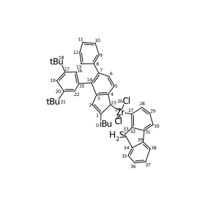 CCC(C)C1=Cc2c(ccc(-c3ccccc3)c2-c2cc(C(C)(C)C)cc(C(C)(C)C)c2)[CH]1[Zr]([Cl])([Cl])[c]1cccc2c1[SiH2]c1ccccc1-2